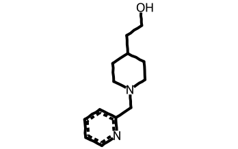 OCCC1CCN(Cc2ccccn2)CC1